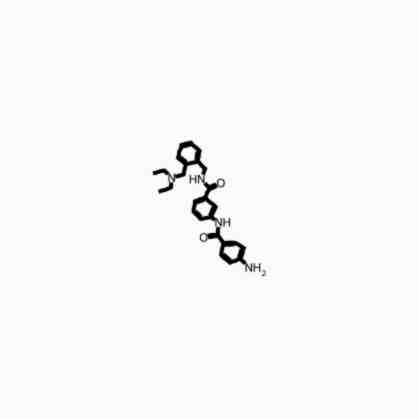 CCN(CC)Cc1ccccc1CNC(=O)c1cccc(NC(=O)c2ccc(N)cc2)c1